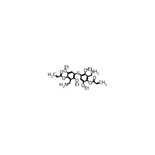 C=CC(=O)Oc1c(OCC)cc(Sc2cc(OCC)c(OC(=O)C=C)c(CN)c2OCC)c(OCC)c1CN